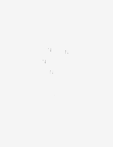 C=C(/N=C(\N=C(/C)c1cccc2c1C(C)(C)c1ccccc1-2)c1ccccc1)n1c2ccccc2c2ccc3c4ccccc4n(-c4ccccc4)c3c21